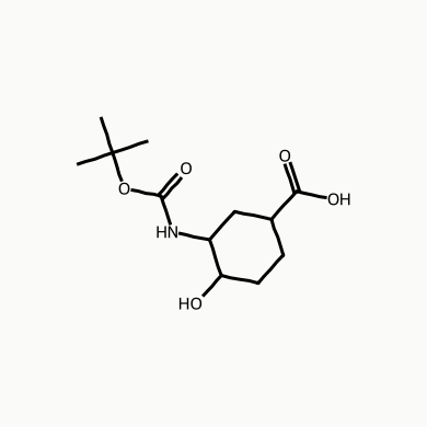 CC(C)(C)OC(=O)NC1CC(C(=O)O)CCC1O